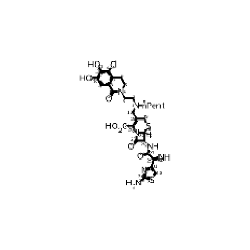 CCCCCN(CCN1CCc2c(cc(O)c(O)c2Cl)C1=O)CC1=C(C(=O)O)N2C(=O)[C@@H](NC(=O)C(=N)c3csc(N)n3)[C@H]2SC1